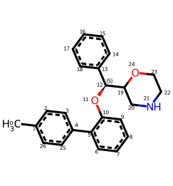 Cc1ccc(-c2ccccc2O[C@@H](c2ccccc2)C2CNCCO2)cc1